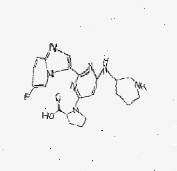 O=C(O)[C@@H]1CCCN1c1cc(NC2CCCNC2)nc(-c2cnc3ccc(F)cn23)n1